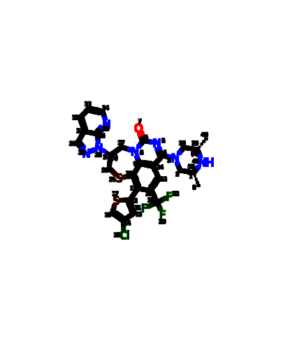 C[C@@H]1CN(c2nc(=O)n3c4c(c(-c5cc(Cl)cs5)c(C(F)(F)F)cc24)SC[C@@H](n2ncc4cccnc42)C3)C[C@H](C)N1